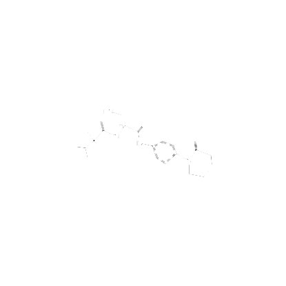 NC[C@@H](NC(=O)C(F)(F)C(F)F)C(=O)Nc1ccc(N2CCOCC2=O)cc1